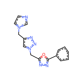 c1ccc(-c2nnc(Cn3cc(Cn4ccnc4)nn3)o2)cc1